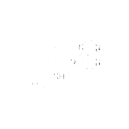 COCCNC1CC(C)CN(c2ccnc3nccnc23)C1